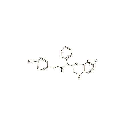 Cc1ccc2c(n1)O[C@@H]([C@H](NCCc1ccc(C#N)cc1)c1ccccc1)CN2